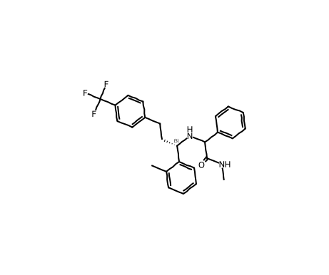 CNC(=O)C(N[C@@H](CCc1ccc(C(F)(F)F)cc1)c1ccccc1C)c1ccccc1